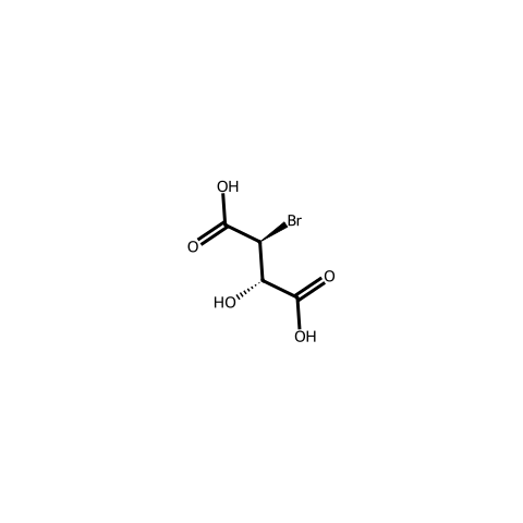 O=C(O)[C@@H](Br)[C@@H](O)C(=O)O